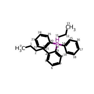 CCCCc1ccccc1[PH](CCC)(c1ccccc1)c1ccccc1